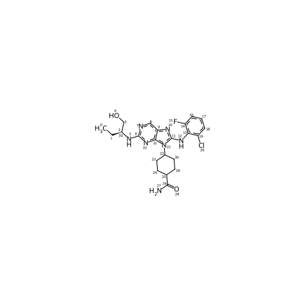 CC[C@@H](CO)Nc1ncc2nc(Nc3c(F)cccc3Cl)n(C3CCC(C(N)=O)CC3)c2n1